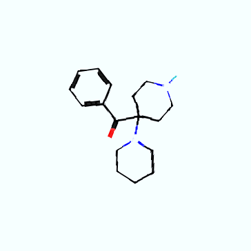 O=C(c1ccccc1)C1(N2CCCCC2)CCN(F)CC1